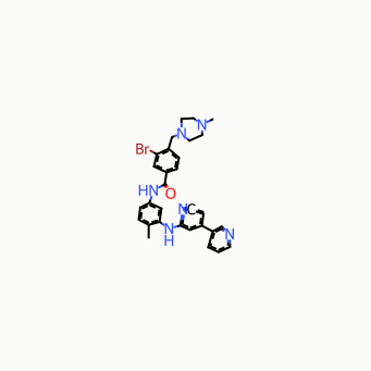 Cc1ccc(NC(=O)c2ccc(CN3CCN(C)CC3)c(Br)c2)cc1Nc1cc(-c2cccnc2)ccn1